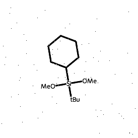 CO[Si](OC)(C1CCCCC1)C(C)(C)C